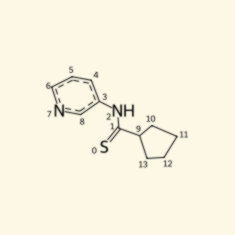 S=C(Nc1cccnc1)C1CCCC1